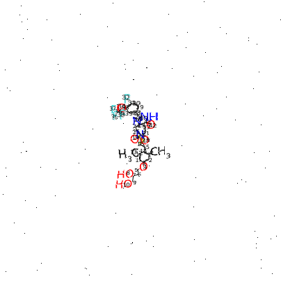 Cc1cc(OCCC(O)CO)cc(C)c1CCS(=O)(=O)N1CCC2(CC1)N=C(c1ccc(F)c(OC(F)(F)F)c1)NC2=O